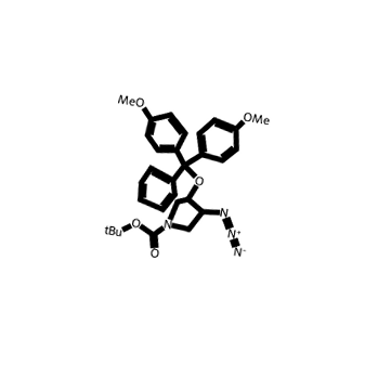 COc1ccc(C(OC2CN(C(=O)OC(C)(C)C)CC2N=[N+]=[N-])(c2ccccc2)c2ccc(OC)cc2)cc1